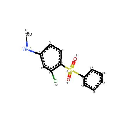 CC(C)(C)Nc1ccc(S(=O)(=O)c2ccccc2)c(Cl)c1